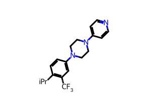 CC(C)c1ccc(N2CCN(c3ccncc3)CC2)cc1C(F)(F)F